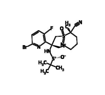 CC(C)(C)[S@@+]([O-])N[C@@](CF)(CS1(=O)=NCCC[C@@]1(C)C#N)c1nc(Br)ccc1F